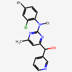 CCN(c1nc(C)cc(C(O)c2cccnc2)n1)c1ccc(C(C)C)cc1Br